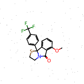 COc1cccc2c1C(=O)N1CCSC21c1ccc(C(F)(F)F)cc1